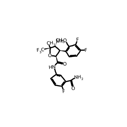 COc1c([C@H]2[C@@H](C(=O)Nc3ccc(F)c(C(N)=O)c3)O[C@@](C)(C(F)(F)F)[C@@H]2C)ccc(F)c1F